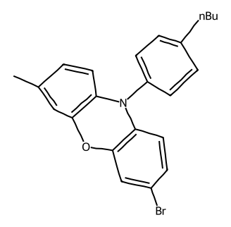 CCCCc1ccc(N2c3ccc(C)cc3Oc3cc(Br)ccc32)cc1